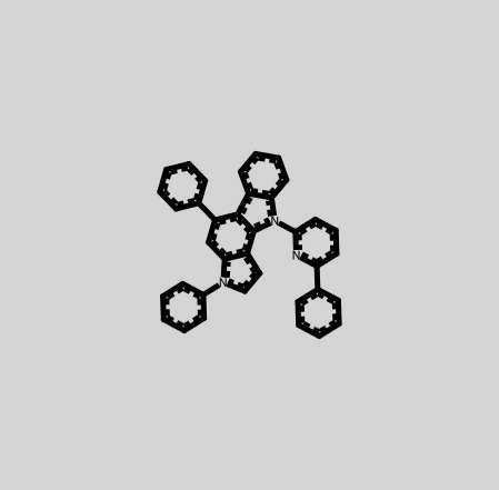 c1ccc(-c2cccc(-n3c4ccccc4c4c(-c5ccccc5)cc5c(ccn5-c5ccccc5)c43)n2)cc1